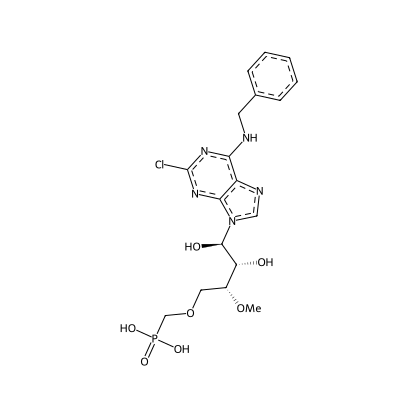 CO[C@H](COCP(=O)(O)O)[C@@H](O)[C@@H](O)n1cnc2c(NCc3ccccc3)nc(Cl)nc21